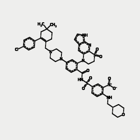 CC1(C)CCC(CN2CCN(c3ccc(C(=O)NS(=O)(=O)c4ccc(NCC5CCOCC5)c([N+](=O)[O-])c4)c(N4CCS(=O)(=O)c5nc6[nH]ccc6cc54)c3)CC2)=C(c2ccc(Cl)cc2)C1